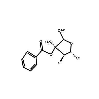 CC[C@H]1OC(OC(C)=O)[C@](C)(OC(=O)c2ccccc2)[C@@H]1F